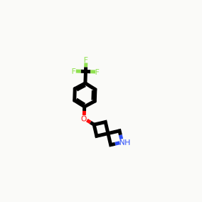 FC(F)(F)c1ccc(OC2CC3(CNC3)C2)cc1